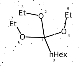 CCCCCCC(OCC)(OCC)OCC